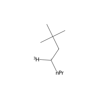 [3H][C](CCC)CC(C)(C)C